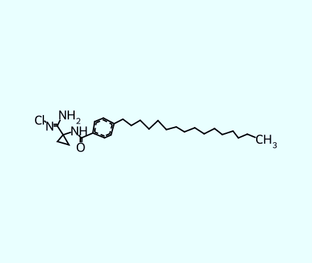 CCCCCCCCCCCCCCCCc1ccc(C(=O)NC2(/C(N)=N/Cl)CC2)cc1